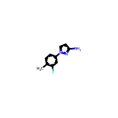 Cc1ccc(-n2ccc(N)n2)cc1F